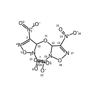 O=[N+]([O-])C1=NON([N+](=O)[O-])C1OC1C([N+](=O)[O-])=NON1[N+](=O)[O-]